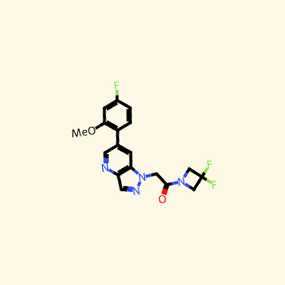 COc1cc(F)ccc1-c1cnc2cnn(CC(=O)N3CC(F)(F)C3)c2c1